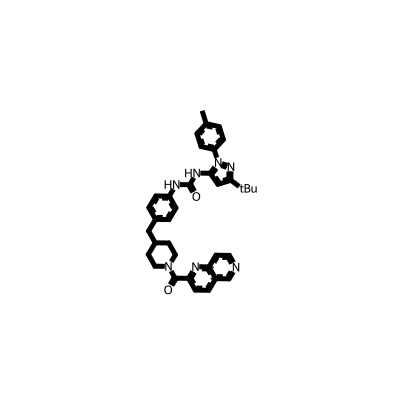 Cc1ccc(-n2nc(C(C)(C)C)cc2NC(=O)Nc2ccc(CC3CCN(C(=O)c4ccc5cnccc5n4)CC3)cc2)cc1